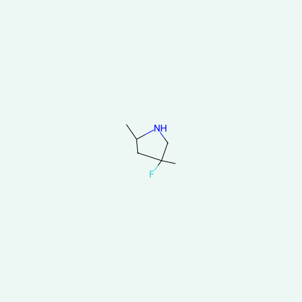 CC1CC(C)(F)CN1